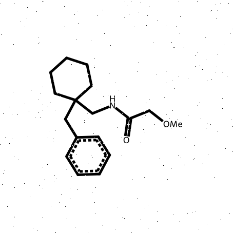 COCC(=O)NCC1(Cc2ccccc2)CCCCC1